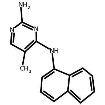 Cc1cnc(N)nc1Nc1cccc2ccccc12